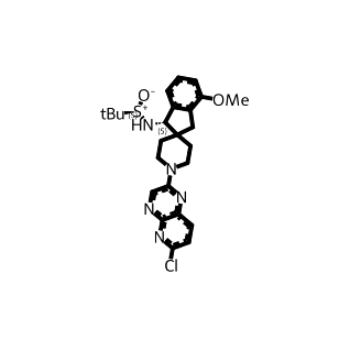 COc1cccc2c1CC1(CCN(c3cnc4nc(Cl)ccc4n3)CC1)[C@@H]2N[S@+]([O-])C(C)(C)C